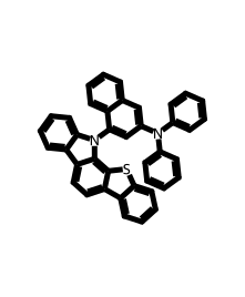 c1ccc(N(c2ccccc2)c2cc(-n3c4ccccc4c4ccc5c6ccccc6sc5c43)c3ccccc3c2)cc1